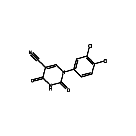 N#Cc1cn(-c2ccc(Cl)c(Cl)c2)c(=O)[nH]c1=O